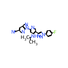 CC(C)Nc1cc(-n2ncc3cc(C#N)cnc32)ncc1-c1cn(-c2ccc(F)cc2)nn1